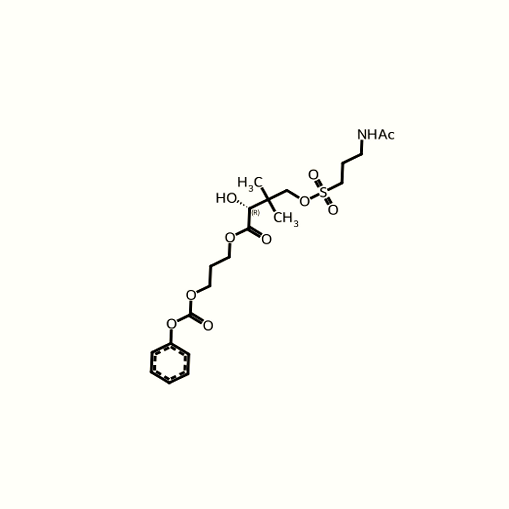 CC(=O)NCCCS(=O)(=O)OCC(C)(C)[C@@H](O)C(=O)OCCCOC(=O)Oc1ccccc1